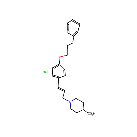 Cl.O=C(O)C1CCN(C/C=C/c2ccc(OCCCc3ccccc3)cc2)CC1